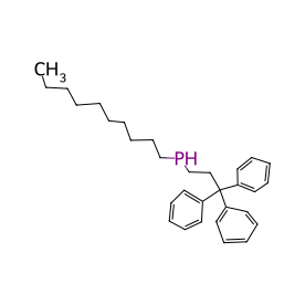 CCCCCCCCCCPCCC(c1ccccc1)(c1ccccc1)c1ccccc1